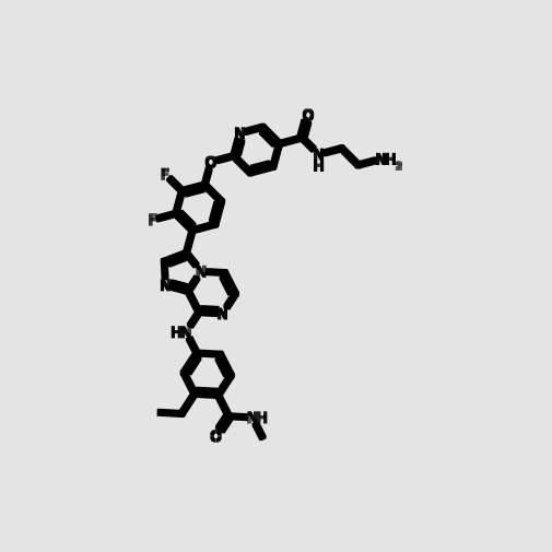 CCc1cc(Nc2nccn3c(-c4ccc(Oc5ccc(C(=O)NCCN)cn5)c(F)c4F)cnc23)ccc1C(=O)NC